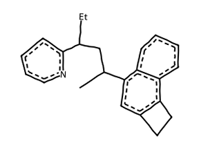 CCC(CC(C)c1cc2c(c3ccccc13)CC2)c1ccccn1